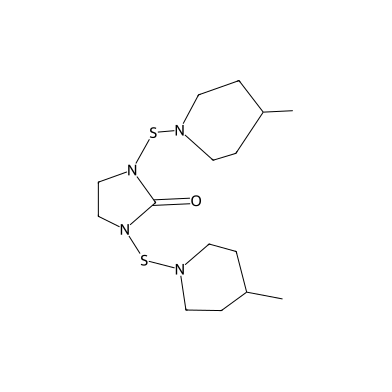 CC1CCN(SN2CCN(SN3CCC(C)CC3)C2=O)CC1